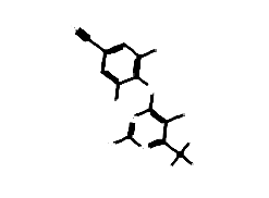 N#Cc1cc(F)c(Oc2nc(N)nc(C(F)(F)F)c2I)c(F)c1